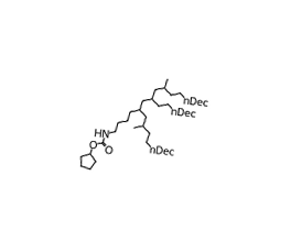 CCCCCCCCCCCCC(C)CC(CCCCCCCCCCCC)CC(CCCCNC(=O)OC1CCCC1)CC(C)CCCCCCCCCCCC